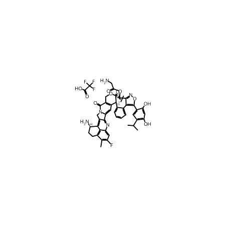 CC[C@@]1(c2ccccc2-c2c(C(=O)OC(=O)CN)noc2-c2cc(C(C)C)c(O)cc2O)C(=O)OCc2c1cc1n(c2=O)Cc2c-1nc1cc(F)c(C)c3c1c2[C@H](N)CC3.O=C(O)C(F)(F)F